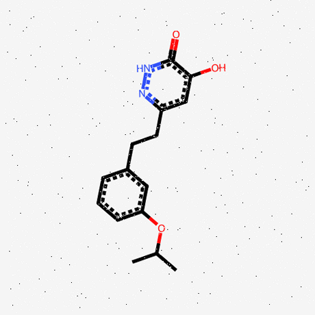 CC(C)Oc1cccc(CCc2cc(O)c(=O)[nH]n2)c1